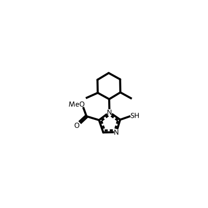 COC(=O)c1cnc(S)n1C1C(C)CCCC1C